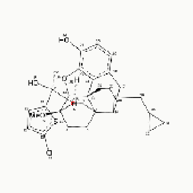 CO[C@]12CCC3(C[C@@H]1[C@](C)(O)c1ccc(Cl)s1)C1Cc4ccc(O)c5c4[C@@]3(CCN1CC1CC1)[C@@H]2O5